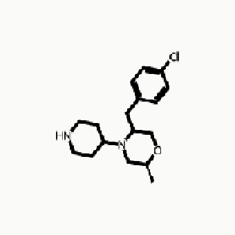 C[C@H]1CN(C2CCNCC2)C(Cc2ccc(Cl)cc2)CO1